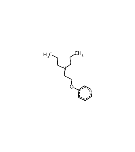 CCCN(CCC)CCOc1ccccc1